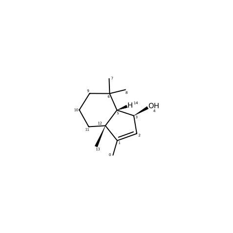 CC1=C[C@H](O)[C@H]2C(C)(C)CCC[C@@]12C